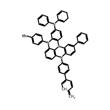 C=C/C=C\C(=C/C)c1ccc(N2c3ccc(-c4ccccc4)cc3B3c4ccc(N(C5=CCCC=C5)c5ccccc5)cc4N(c4ccc(C(C)(C)C)cc4)c4cccc2c43)cc1